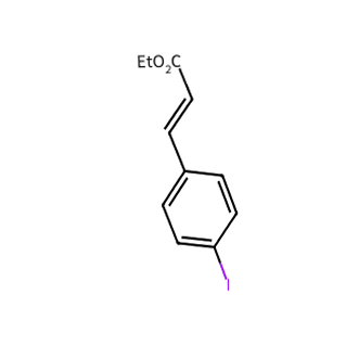 CCOC(=O)C=Cc1ccc(I)cc1